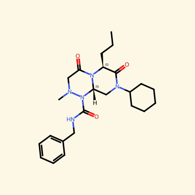 CCC[C@H]1C(=O)N(C2CCCCC2)C[C@H]2N1C(=O)CN(C)N2C(=O)NCc1ccccc1